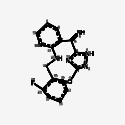 COc1n[nH]c(C(=N)c2cccnc2NCc2ccccc2F)n1